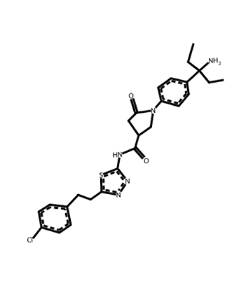 CCC(N)(CC)c1ccc(N2CC(C(=O)Nc3nnc(CCc4ccc(Cl)cc4)s3)CC2=O)cc1